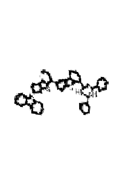 c1ccc(C2N=C(c3cccc4c3sc3ccc(-c5cccc6c5sc5cc(-n7c8ccccc8c8ccccc87)ccc56)cc34)NC(c3ccccc3)N2)cc1